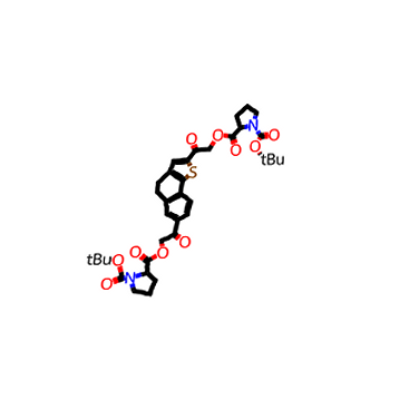 CC(C)(C)OC(=O)N1CCCC1C(=O)OCC(=O)c1ccc2c(c1)CCc1cc(C(=O)COC(=O)C3CCCN3C(=O)OC(C)(C)C)sc1-2